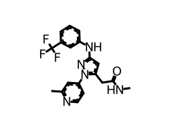 CNC(=O)Cc1cc(Nc2cccc(C(F)(F)F)c2)nn1-c1ccnc(C)c1